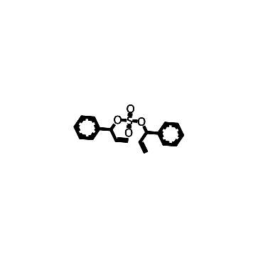 C=CC(OS(=O)(=O)OC(C=C)c1ccccc1)c1ccccc1